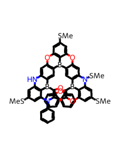 CSc1cc2c3c(c1)Oc1cc4c(cc1B3c1cc3c(cc1O2)Nc1cc(SC)cc2c1B3c1oc3ccccc3c1N2c1ccccc1)B1c2oc3ccccc3c2Oc2cc(SC)cc(c21)N4SC